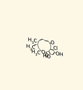 C=C[C@@H]1C[C@@H](C)OC(=O)c2c(O)cc(O)c(Cl)c2CC(=O)/C=C/C=C\[C@H]1C